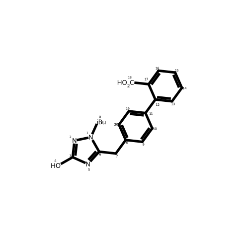 CCC(C)n1nc(O)nc1Cc1ccc(-c2ccccc2C(=O)O)cc1